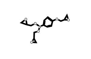 c1cc(N(OCC2CO2)OCC2CO2)ccc1OCC1CO1